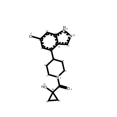 O=C(N1CCC(c2cc(Cl)cc3[nH]ncc23)CC1)C1(O)CC1